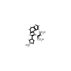 CN1CCC(c2nc3c(s2)CCc2sccc2-3)C1.O=C(O)/C=C/C(=O)O